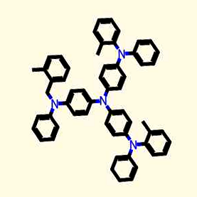 Cc1ccccc1CN(c1ccccc1)c1ccc(N(c2ccc(N(C3=CCCC=C3)c3ccccc3C)cc2)c2ccc(N(c3ccccc3)c3ccccc3C)cc2)cc1